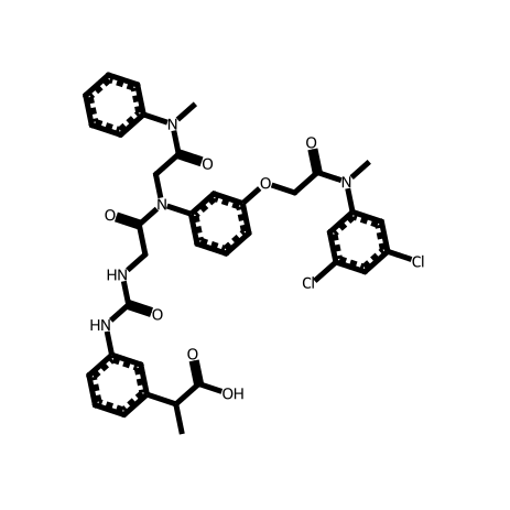 CC(C(=O)O)c1cccc(NC(=O)NCC(=O)N(CC(=O)N(C)c2ccccc2)c2cccc(OCC(=O)N(C)c3cc(Cl)cc(Cl)c3)c2)c1